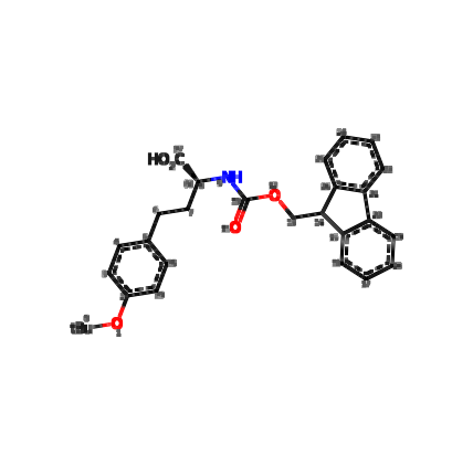 CC(C)(C)Oc1ccc(CC[C@H](NC(=O)OCC2c3ccccc3-c3ccccc32)C(=O)O)cc1